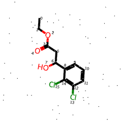 CCOC(=O)CC(O)c1cccc(Cl)c1Cl